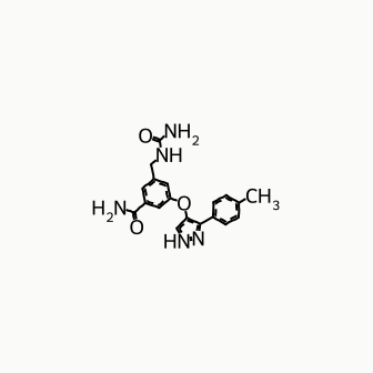 Cc1ccc(-c2n[nH]cc2Oc2cc(CNC(N)=O)cc(C(N)=O)c2)cc1